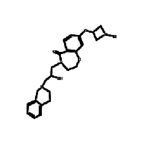 CCN1CC(Oc2ccc3c(c2)OCCN(CC(O)CN2CCc4ccccc4C2)C3=O)C1